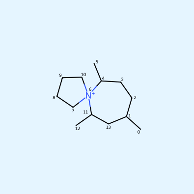 CC1CCC(C)[N+]2(CCCC2)C(C)C1